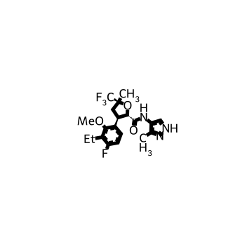 CCc1c(F)ccc([C@H]2C[C@@](C)(C(F)(F)F)O[C@@H]2C(=O)Nc2c[nH]nc2C)c1OC